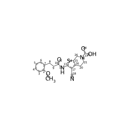 COc1ccccc1CCC(=O)Nc1sc2c(c1C#N)CCN(C(=O)O)C2